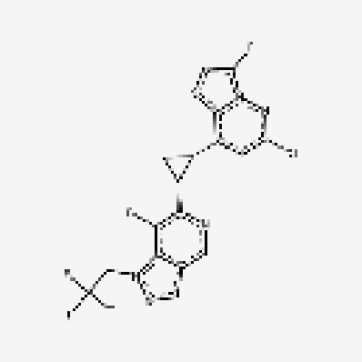 Fc1c([C@H]2C[C@@H]2c2cc(Cl)nn3c(F)cnc23)ncc2cnn(CC(F)(F)F)c12